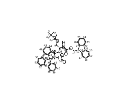 CC(C)(C)[Si](C)(C)OC[C@@H](NC(=O)OCC1c2ccccc2-c2ccccc21)C(OC=O)C(=O)NC(c1ccccc1)(c1ccccc1)c1ccccc1